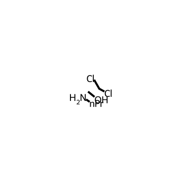 CCCN.CO.ClCCl